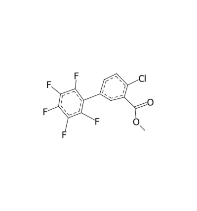 COC(=O)c1cc(-c2c(F)c(F)c(F)c(F)c2F)ccc1Cl